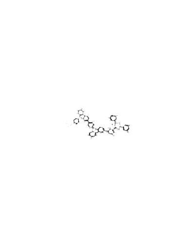 CC(C)(C)c1ccc(-n2c3c(c4ccc(-c5ccc(-n6c7ccccc7c7cc(-c8cccc(-c9nc(-c%10ccccc%10)nc(-c%10ccccc%10)n9)c8)ccc76)cc5)cc42)C=CCC3)cc1